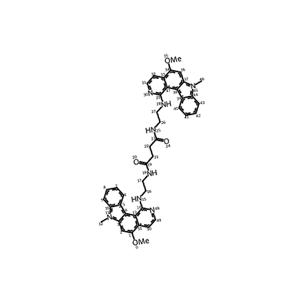 COc1cc2c(c3ccccc3n2C)c2c(NCCNC(=O)CCC(=O)NCCNc3nccc4c(OC)cc5c(c6ccccc6n5C)c34)nccc12